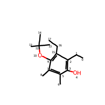 CCc1c(O)c(C)c(C)c(OC(C)(C)C)c1CC